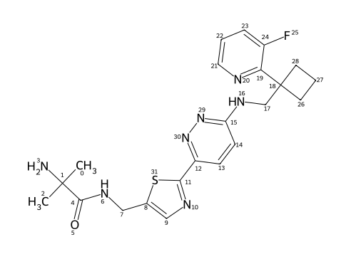 CC(C)(N)C(=O)NCc1cnc(-c2ccc(NCC3(c4ncccc4F)CCC3)nn2)s1